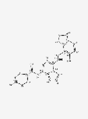 CN1CCN(C(=O)Nc2cnc(NCc3c(F)ccc4c3CCO4)n3cnnc23)CC1